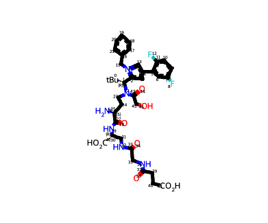 CC(C)(C)[C@H](c1cc(-c2cc(F)ccc2F)cn1Cc1ccccc1)N(CC[C@H](N)C(=O)N[C@H](CNC(=O)CNC(=O)CCC(=O)O)C(=O)O)C(=O)CO